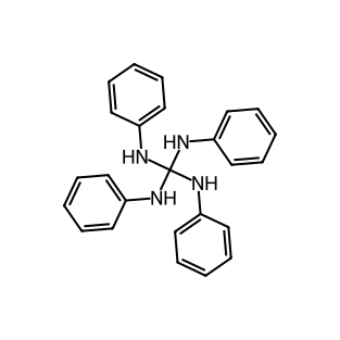 c1ccc(NC(Nc2ccccc2)(Nc2ccccc2)Nc2ccccc2)cc1